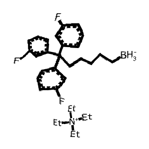 CC[N+](CC)(CC)CC.[BH3-]CCCCCC(c1cccc(F)c1)(c1cccc(F)c1)c1cccc(F)c1